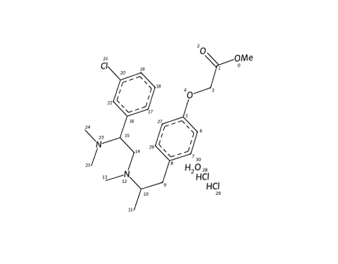 COC(=O)COc1ccc(CC(C)N(C)CC(c2cccc(Cl)c2)N(C)C)cc1.Cl.Cl.O